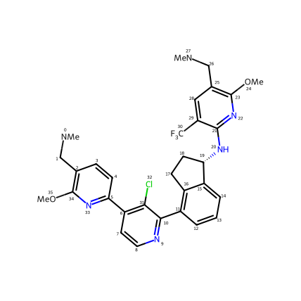 CNCc1ccc(-c2ccnc(-c3cccc4c3CC[C@@H]4Nc3nc(OC)c(CNC)cc3C(F)(F)F)c2Cl)nc1OC